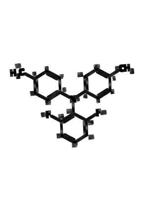 Cc1ccc(N(c2ccc(C)cc2)c2c(F)cccc2F)cc1